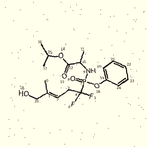 C/C(=C\CC(F)(F)P(=O)(NC(C)C(=O)OC(C)C)Oc1ccccc1)CO